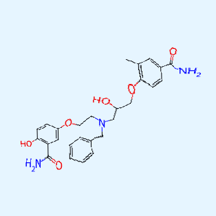 Cc1cc(C(N)=O)ccc1OCC(O)CN(CCOc1ccc(O)c(C(N)=O)c1)Cc1ccccc1